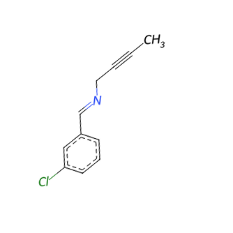 CC#CCN=Cc1cccc(Cl)c1